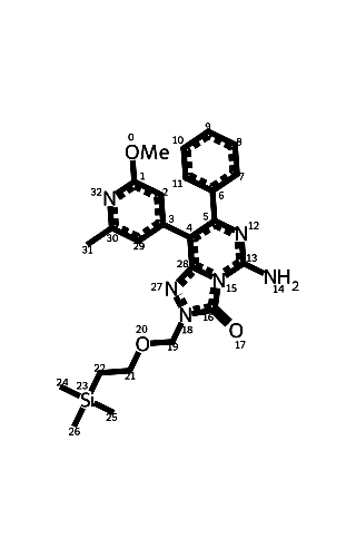 COc1cc(-c2c(-c3ccccc3)nc(N)n3c(=O)n(COCC[Si](C)(C)C)nc23)cc(C)n1